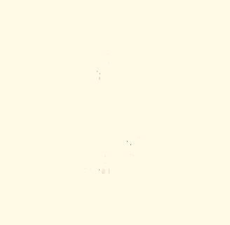 Cc1cc(Cc2ccc(C(=O)N[C@@H]3COC[C@@H]3C(=O)NO)cc2)c2ccccc2n1